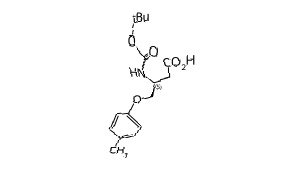 Cc1ccc(OC[C@H](CC(=O)O)NC(=O)OC(C)(C)C)cc1